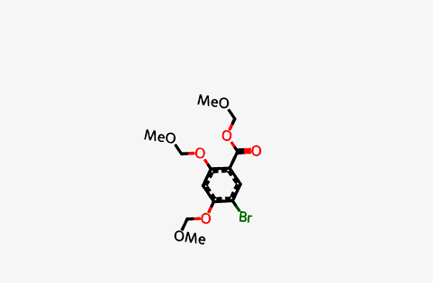 COCOC(=O)c1cc(Br)c(OCOC)cc1OCOC